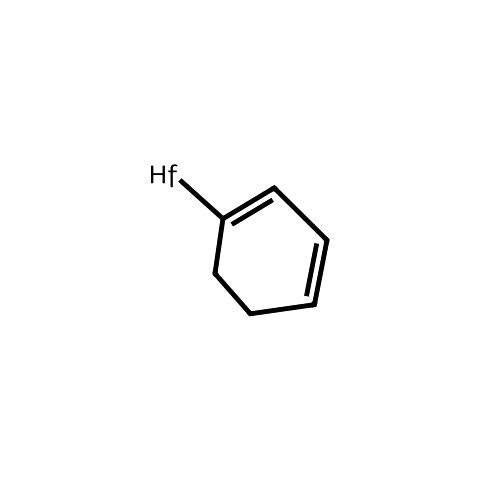 [Hf][C]1=CC=CCC1